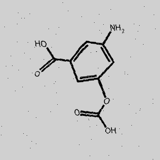 Nc1cc(OC(=O)O)cc(C(=O)O)c1